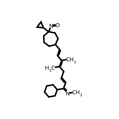 C/N=C(\C=C\C/C(C)=C(C)/C=C/C1CCCC(N=O)(C2CC2)CC1)C1CCCCC1